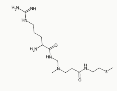 CSCCNC(=O)CCN(C)CNC(=O)C(N)CCCNC(=N)N